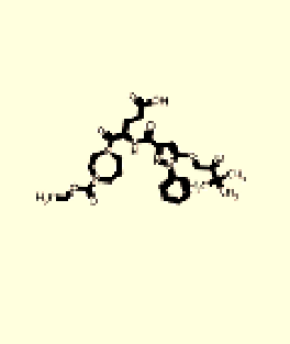 CCOC(=O)N1CCCN(C(=O)C(CCC(=O)O)NC(=O)c2cc(OCC(=O)C(C)(C)C)n(-c3ccccc3)n2)CC1